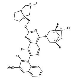 COc1cc2ccccc2c(-c2ncc3c(N4C[C@@H]5C[C@H](C4)[C@H](O)C5)nc(OC[C@@]45CCCN4C[C@H](F)C5)nc3c2F)c1Cl